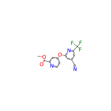 COC(=O)c1cc(Oc2cc(C#N)cc(C(F)(F)F)n2)ccn1